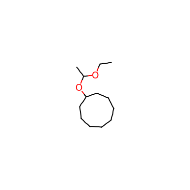 CCOC(C)OC1CCCCCCCC1